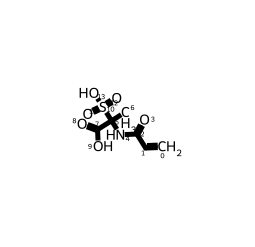 C=CC(=O)NC(C)(C(=O)O)S(=O)(=O)O